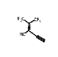 C#CC(C#N)=C(C(F)(F)F)C(F)(F)F